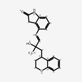 O=C1Cc2c(N=CC(O)(CC3CCOc4ccccc43)C(F)(F)F)cccc2N1